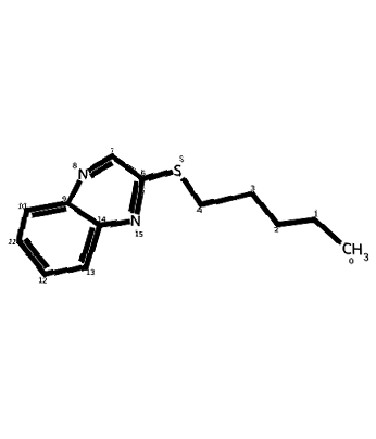 CCCCCSc1cnc2ccccc2n1